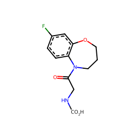 O=C(O)NCC(=O)N1CCCOc2cc(F)ccc21